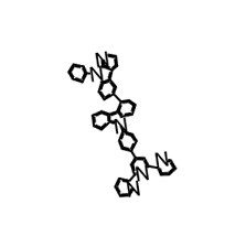 c1ccc(-n2c3ccc(-c4cccc5c4c4ccccc4n5-c4ccc(-c5cc(-c6ccccn6)nc(-c6ccccn6)c5)cc4)cc3c3cccnc32)cc1